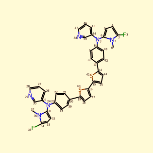 Cn1c(F)ccc1N(c1ccc(-c2ccc(-c3ccc(-c4ccc(N(c5cccnc5)c5ccc(F)n5C)cc4)s3)s2)cc1)c1cccnc1